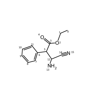 CCOC(=O)C(c1ccccc1)C(N)C#N